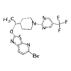 C[C@H](Oc1nc2ccc(Br)nc2s1)C1CCN(c2ncc(C(F)(F)F)cn2)CC1